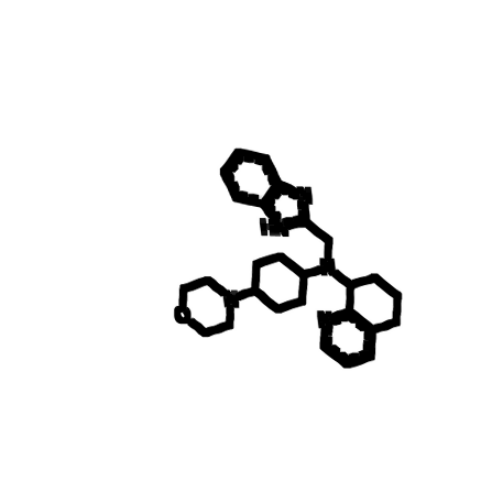 c1cnc2c(c1)CCCC2N(Cc1nc2ccccc2[nH]1)C1CCC(N2CCOCC2)CC1